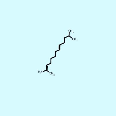 CC(C)=CCCCCC=CCCC(C)C